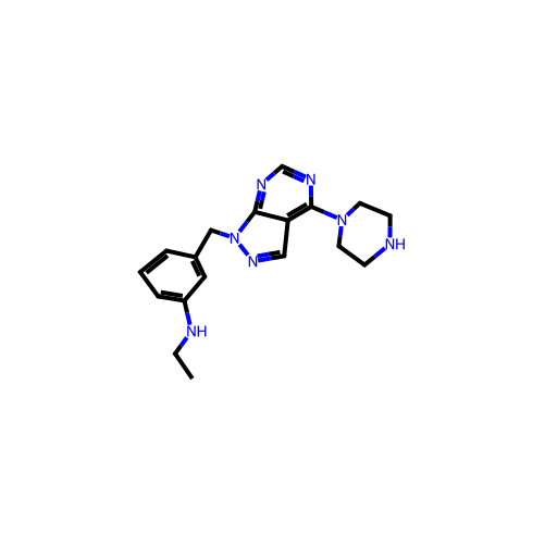 CCNc1cccc(Cn2ncc3c(N4CCNCC4)ncnc32)c1